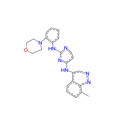 Cc1cccc2c(Nc3ccnc(Nc4ccccc4N4CCOCC4)n3)cnnc12